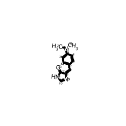 CN(C)c1ccc(/C=C2/N=CNC2=O)cc1